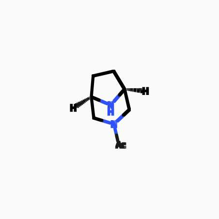 CC(=O)N1C[C@H]2CC[C@@H](C1)N2